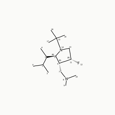 CC(C)C(C)[C@@H]1[C@@H](CN(C)C)[C@@H](F)CN1C(C)(C)C